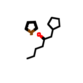 CCCCC(=O)CC1CCCC1.c1ccsc1